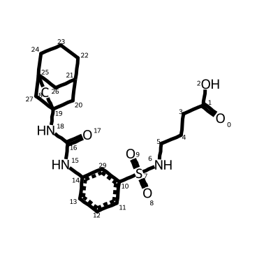 O=C(O)CCCNS(=O)(=O)c1cccc(NC(=O)NC23CC4CCCC(C4)(C2)C3)c1